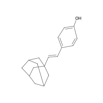 Oc1ccc(C=CC23CC4CC(CC(C4)C2)C3)cc1